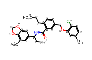 COc1cc(C(CC(C)C)NC(=O)c2cc(COc3cc(C)ccc3Cl)ccc2CCC(=O)O)cc2c1OCO2